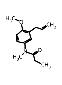 C=CCc1cc(N(C)C(=O)CC)ccc1OC